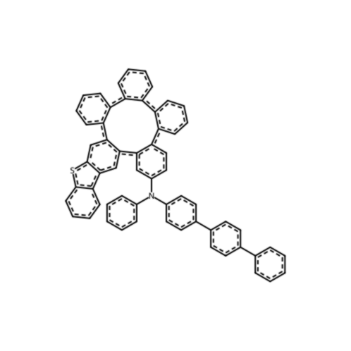 c1ccc(-c2ccc(-c3ccc(N(c4ccccc4)c4ccc5c6ccccc6c6ccccc6c6ccccc6c6cc7sc8ccccc8c7cc6c5c4)cc3)cc2)cc1